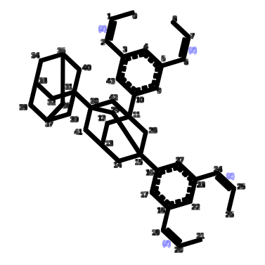 C/C=C\c1cc(/C=C\C)cc(C23CC4CC(c5cc(/C=C\C)cc(/C=C\C)c5)(C2)CC(C25CC6CC(CC(C6)C2)C5)(C4)C3)c1